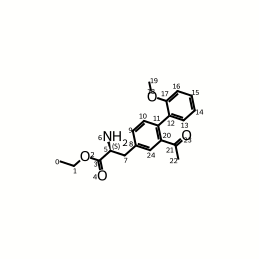 CCOC(=O)[C@@H](N)Cc1ccc(-c2ccccc2OC)c(C(C)=O)c1